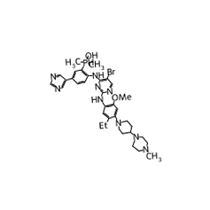 CCc1cc(Nc2ncc(Br)c(Nc3ccc(-c4cncnc4)cc3[PH](C)(C)O)n2)c(OC)cc1N1CCC(N2CCN(C)CC2)CC1